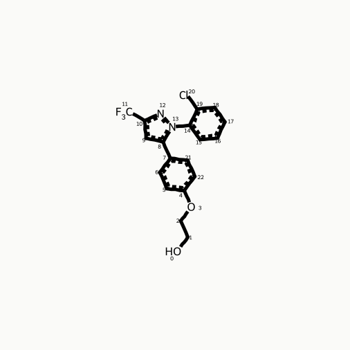 OCCOc1ccc(-c2cc(C(F)(F)F)nn2-c2ccccc2Cl)cc1